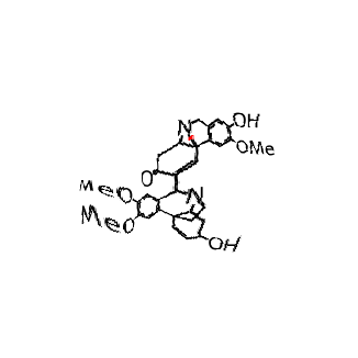 COc1cc2c(cc1O)CN1CCC23C=C(C2c4cc(OC)c(OC)cc4C45C=CC(O)CC4N2CC5)C(=O)CC13